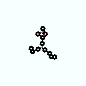 c1cc(-c2ccc(N(c3ccc(-c4ccc5c(ccc6ccccc65)c4)cc3)c3ccc(-c4cccc5ccccc45)cc3)cc2)cc(-c2ccccc2-n2c3ccccc3c3ccccc32)c1